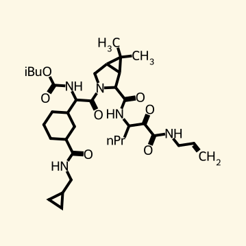 C=CCNC(=O)C(=O)C(CCC)NC(=O)C1C2C(CN1C(=O)C(NC(=O)OCC(C)C)C1CCCC(C(=O)NCC3CC3)C1)C2(C)C